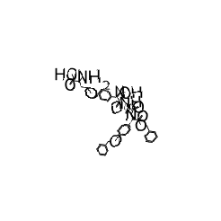 NC(CCOc1ccc(C(=NO)C(=O)N[C@H]2CN(C(C(=O)OCc3ccccc3)c3ccc(OCc4ccccc4)cc3)C2=O)cc1)C(=O)O